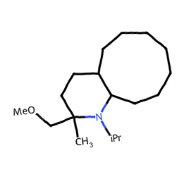 COCC1(C)CCC2CCCCCCCC2N1C(C)C